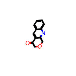 O=C1COCc2nc3ccccc3cc21